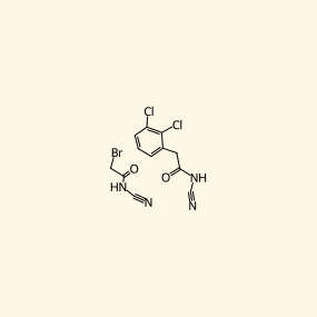 N#CNC(=O)CBr.N#CNC(=O)Cc1cccc(Cl)c1Cl